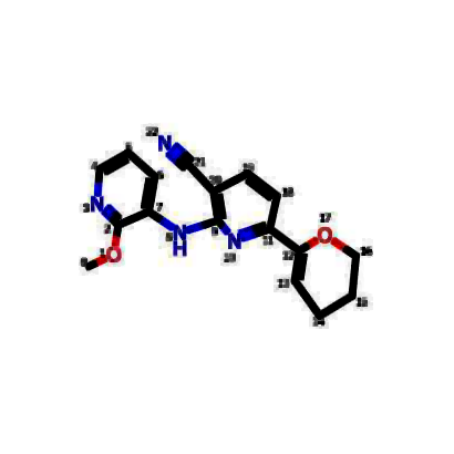 COc1ncccc1Nc1nc(C2=CCCCO2)ccc1C#N